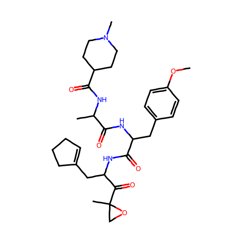 COc1ccc(CC(NC(=O)C(C)NC(=O)C2CCN(C)CC2)C(=O)NC(CC2=CCCC2)C(=O)C2(C)CO2)cc1